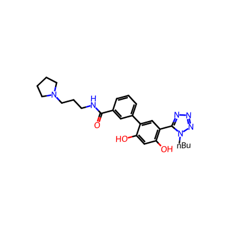 CCCCn1nnnc1-c1cc(-c2cccc(C(=O)NCCCN3CCCC3)c2)c(O)cc1O